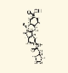 COc1cc(C(=O)O)ccc1CC1=CCc2ccc(NC(=O)CC3CCCC3)cc21